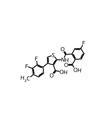 Cc1ccc(-c2csc(NC(=O)c3cc(F)ccc3C(=O)O)c2C(=O)O)c(F)c1F